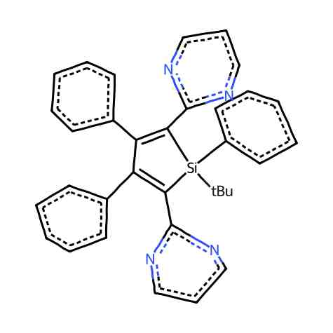 CC(C)(C)[Si]1(c2ccccc2)C(c2ncccn2)=C(c2ccccc2)C(c2ccccc2)=C1c1ncccn1